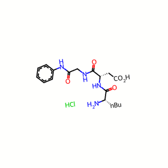 CCCC[C@H](N)C(=O)N[C@@H](CC(=O)O)C(=O)NCC(=O)Nc1ccccc1.Cl